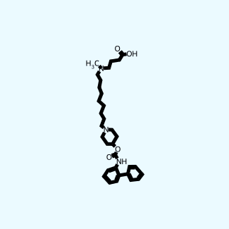 CN(CCCCCCCCCN1CCC(OC(=O)Nc2ccccc2-c2ccccc2)CC1)CCCC(=O)O